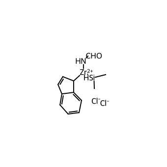 C[SiH](C)[Zr+2]([NH]C=O)[CH]1C=Cc2ccccc21.[Cl-].[Cl-]